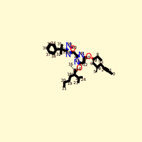 CC#CC[C@@H](C)C[C@H](CC)Oc1cc(O[C@@H](C)C(CCCC)C(C)C)nc(-c2nc(C(C)(C)c3ccccc3)no2)n1